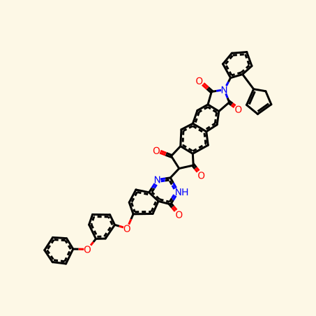 O=C1c2cc3cc4c(cc3cc2C(=O)C1c1nc2ccc(Oc3cccc(Oc5ccccc5)c3)cc2c(=O)[nH]1)C(=O)N(c1ccccc1C1=CC=CC1)C4=O